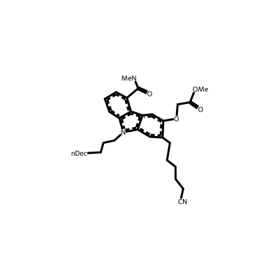 CCCCCCCCCCCCCn1c2cc(CCCCCC#N)c(OCC(=O)OC)cc2c2c(C(=O)NC)cccc21